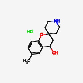 Cc1ccc2c(c1)C(O)CC1(CCNCC1)O2.Cl